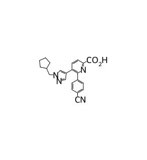 N#Cc1ccc(-c2nc(C(=O)O)ccc2-c2cnn(CC3CCCC3)c2)cc1